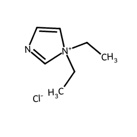 CC[N+]1(CC)C=CN=C1.[Cl-]